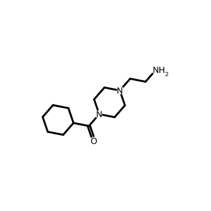 NCCN1CCN(C(=O)C2CCCCC2)CC1